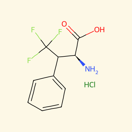 Cl.N[C@H](C(=O)O)C(c1ccccc1)C(F)(F)F